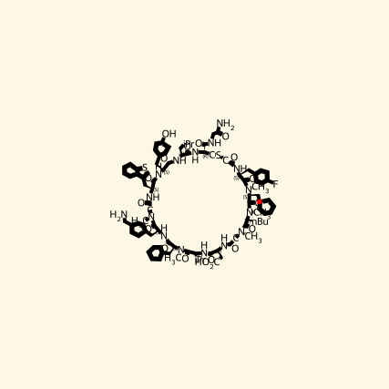 CCCC[C@H]1C(=O)N(C)CC(=O)N[C@@H](CC(=O)O)C(=O)N[C@@H](C(C)C)C(=O)N(C)[C@@H](Cc2ccccc2)C(=O)N[C@@H](Cc2ccc(CN)cc2)C(=O)N(C)CC(=O)N[C@@H](Cc2csc3ccccc23)C(=O)N[C@@H](Cc2ccc(O)cc2)C(=O)N[C@@H](CC(C)C)C(=O)N[C@H](C(=O)NCC(N)=O)CSCC(=O)N[C@@H](Cc2ccc(F)cc2)C(=O)N(C)[C@@H](Cc2ccccc2)C(=O)N1C